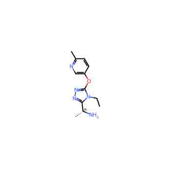 CCn1c(Oc2ccc(C)nc2)nnc1[C@@H](C)N